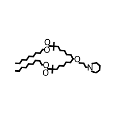 CCCCCCCCCOC(=O)C(C)(C)CCCCCC(CCCCCC(C)(C)C(=O)OCCCCCCCCC)OCCCN1CCCCCC1